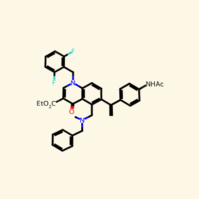 C=C(c1ccc(NC(C)=O)cc1)c1ccc2c(c1CN(C)Cc1ccccc1)c(=O)c(C(=O)OCC)cn2Cc1c(F)cccc1F